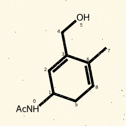 CC(=O)NC1C=C(CO)C(C)=CC1